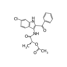 CC(=O)O[C@@H](C)C(=O)Nc1c(C(=O)c2ccccc2)[nH]c2cc(Cl)ccc12